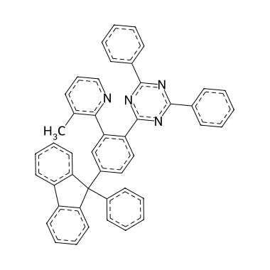 Cc1cccnc1-c1cc(C2(c3ccccc3)c3ccccc3-c3ccccc32)ccc1-c1nc(-c2ccccc2)nc(-c2ccccc2)n1